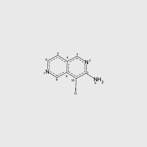 Nc1ncc2ccncc2c1I